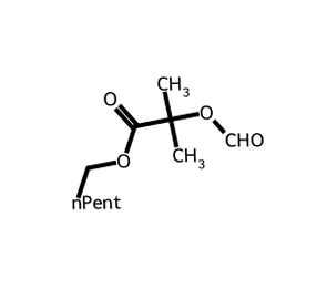 CCCCCCOC(=O)C(C)(C)OC=O